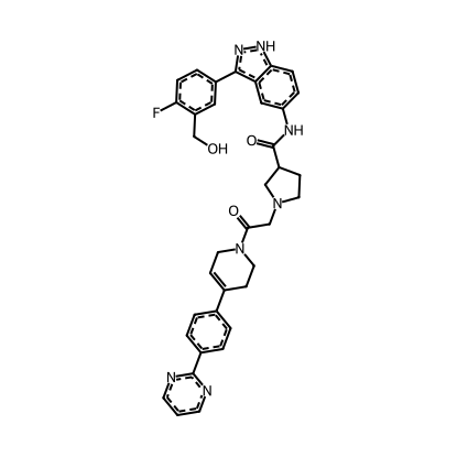 O=C(Nc1ccc2[nH]nc(-c3ccc(F)c(CO)c3)c2c1)C1CCN(CC(=O)N2CC=C(c3ccc(-c4ncccn4)cc3)CC2)C1